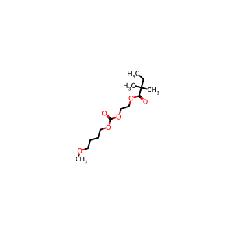 CCC(C)(C)C(=O)OCCOC(=O)OCCCCOC